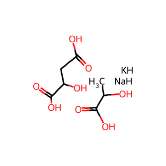 CC(O)C(=O)O.O=C(O)CC(O)C(=O)O.[KH].[NaH]